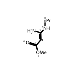 CCCNC(N)=CC(=O)OC